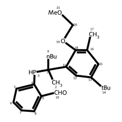 CCCCC(C)(Pc1ccccc1C=O)c1cc(C(C)(C)C)cc(C)c1OCOC